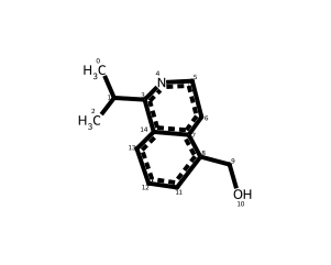 CC(C)c1nccc2c(CO)cccc12